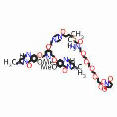 C/C=C1\C[C@H]2C=Nc3cc(OCc4cc(OCCN5CCN(C(=O)CCC(C)(C)SCC(=O)NCCOCCOCCOCCOCCC(=O)ON6C(=O)CCC6=O)CC5)cc(COc5cc6c(cc5OC)C(=O)N5C/C(=C/C)C[C@H]5C=N6)n4)c(OC)cc3C(=O)N2C1